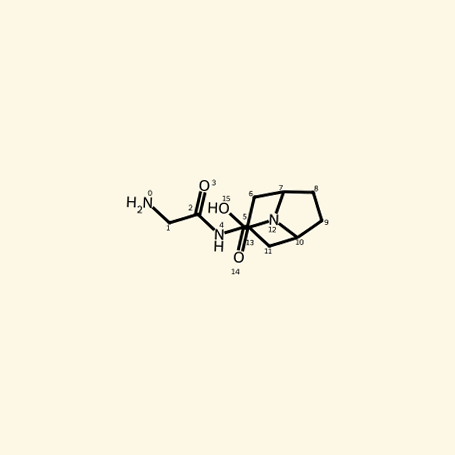 NCC(=O)NC1CC2CCC(C1)N2C(=O)O